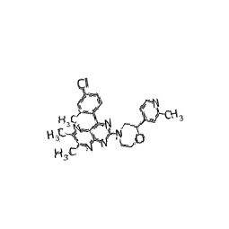 Cc1cc([C@@H]2CN(c3nc(-c4ccc(Cl)cc4C)c4nc(C)c(C)nc4n3)CCO2)ccn1